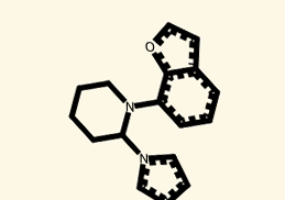 c1cc(N2CCCCC2n2cccc2)c2occc2c1